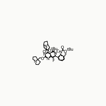 CN(C(=O)OC(C)(C)C)c1c(F)cccc1-c1ncc2c(N3CC4CCC(C3)N4C(=O)OC(C)(C)C)nc(OCC34CCCN3CCC4)nc2c1F